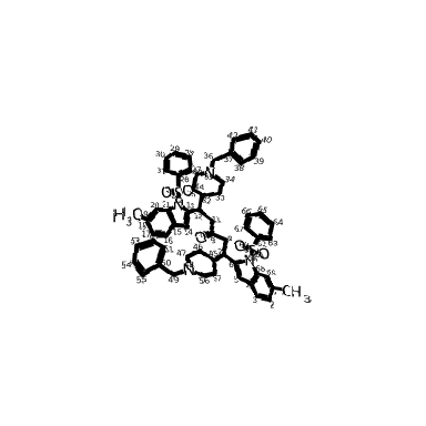 Cc1ccc2cc(C(CC(=O)CC(c3cc4ccc(C)cc4n3S(=O)(=O)c3ccccc3)C3CCN(Cc4ccccc4)CC3)C3CCN(Cc4ccccc4)CC3)n(S(=O)(=O)c3ccccc3)c2c1